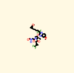 CC[C@@H]1[C@@H](Oc2nc3cc(OC)ccc3nc2C(F)(F)CCCCC2C[C@H]2OC)CN(C(=O)CNC=O)[C@@H]1C(=O)CC1C[C@H]1C(F)F